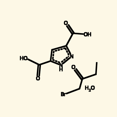 CCC(=O)CBr.O.O=C(O)c1cc(C(=O)O)[nH]n1